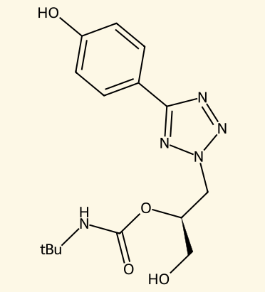 CC(C)(C)NC(=O)O[C@H](CO)Cn1nnc(-c2ccc(O)cc2)n1